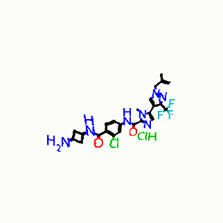 C=C(C)Cn1cc(-c2cnc(C(=O)Nc3ccc(C(=O)NC4CC(N)C4)c(Cl)c3)n2C)c(C(F)(F)F)n1.Cl